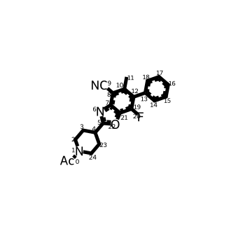 CC(=O)N1CCC(c2nc3c(C#N)c(C)c(-c4ccccc4)c(F)c3o2)CC1